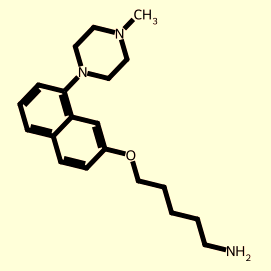 CN1CCN(c2cccc3ccc(OCCCCCN)cc23)CC1